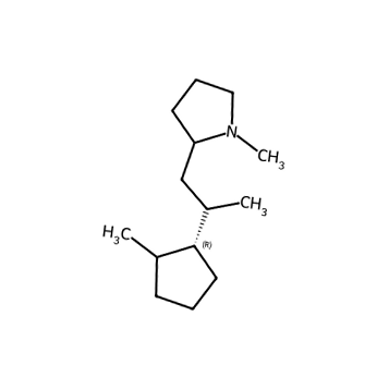 CC1CCC[C@H]1C(C)CC1CCCN1C